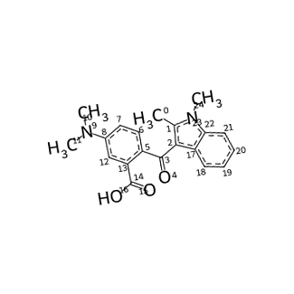 Cc1c(C(=O)c2ccc(N(C)C)cc2C(=O)O)c2ccccc2n1C